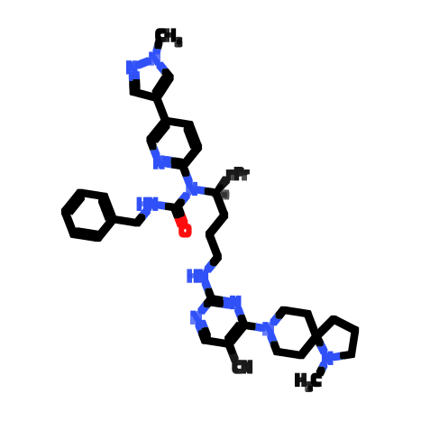 CCC[C@@H](CCCNc1ncc(C#N)c(N2CCC3(CCCN3C)CC2)n1)N(C(=O)NCc1ccccc1)c1ccc(-c2cnn(C)c2)cn1